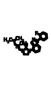 CC(C)C[C@@H](O)CN1CCN(c2cccc3c2cnn3-c2ccccc2F)C1=O